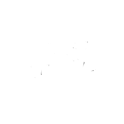 CC(=O)[C@H]1CCCC[C@H]1C(=O)N(NC1CC[C@@H](C(C)=O)[C@@H](C(=O)N[C@@H](CN)C(N)=O)C1)[C@@H](CN)C(N)=O